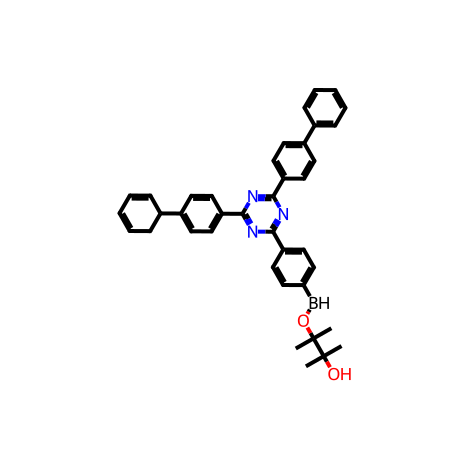 CC(C)(O)C(C)(C)OBc1ccc(-c2nc(-c3ccc(-c4ccccc4)cc3)nc(-c3ccc(C4C=CC=CC4)cc3)n2)cc1